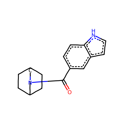 O=C(c1ccc2[nH]ccc2c1)N1CC2CCC(CC2)C1